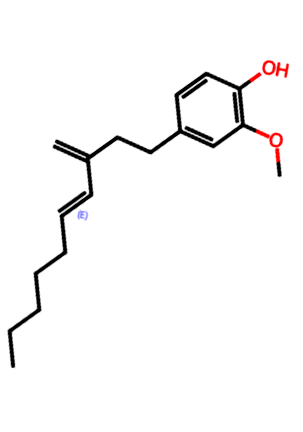 C=C(/C=C/CCCCC)CCc1ccc(O)c(OC)c1